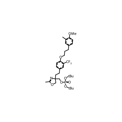 COc1ccc(CCCOc2ccc(CCC3(COP(=O)(OC(C)(C)C)OC(C)(C)C)COC(C)=N3)cc2C(F)(F)F)cc1C